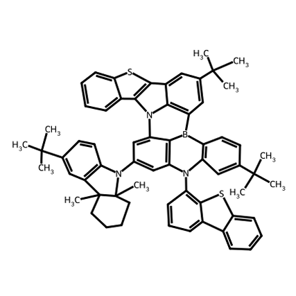 CC(C)(C)c1ccc2c(c1)N(c1cccc3c1sc1ccccc13)c1cc(N3c4ccc(C(C)(C)C)cc4C4(C)CCCCC34C)cc3c1B2c1cc(C(C)(C)C)cc2c4sc5ccccc5c4n-3c12